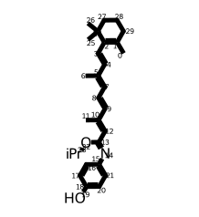 CC1=C(/C=C/C(C)=C/C=C/C(C)=C/C(=N/c2ccc(O)cc2)OC(C)C)C(C)(C)CCC1